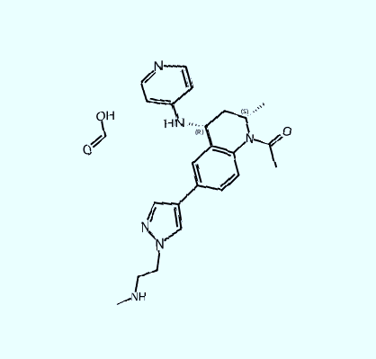 CNCCn1cc(-c2ccc3c(c2)[C@H](Nc2ccncc2)C[C@H](C)N3C(C)=O)cn1.O=CO